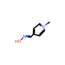 C[n+]1ccc(/C=N/O)cc1